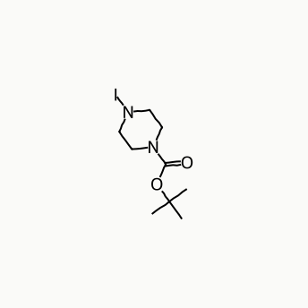 CC(C)(C)OC(=O)N1CCN(I)CC1